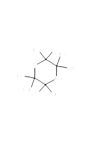 BC1(B)NC(B)(O)C(B)(O)OC1(B)B